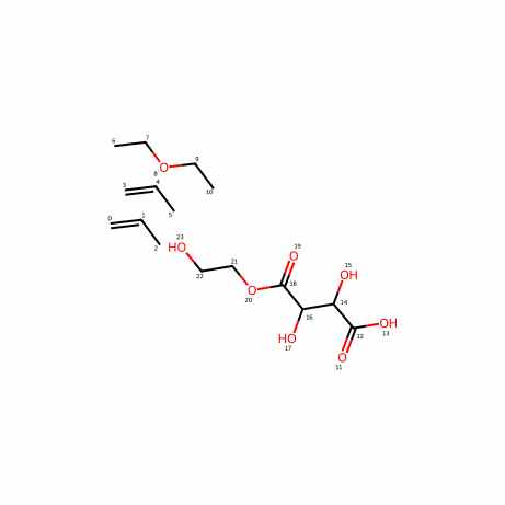 C=CC.C=CC.CCOCC.O=C(O)C(O)C(O)C(=O)OCCO